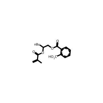 C=C(C)C(=O)OC(CCCC)COC(=O)c1ccccc1C(=O)O